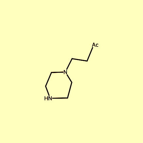 CC(=O)CCN1CCNCC1